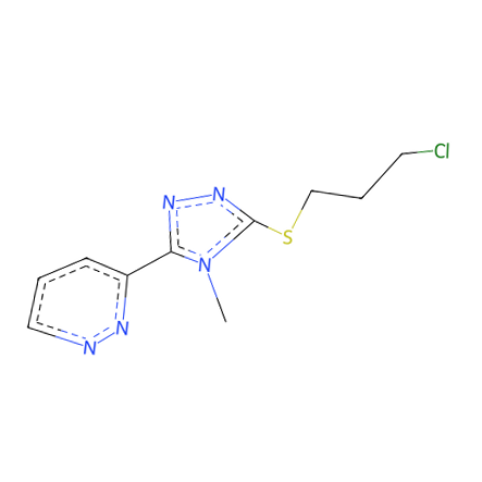 Cn1c(SCCCCl)nnc1-c1cccnn1